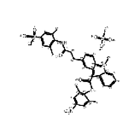 Cc1cc(S(=O)(=O)Cl)cc(C)c1NC(=O)CCc1ccc2c(c1)c(C(=O)Oc1c(C)cc([N+](=O)[O-])cc1C)c1ccccc1[n+]2C.O=S(=O)([O-])F